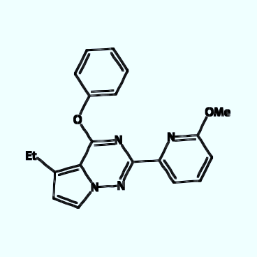 CCc1ccn2nc(-c3cccc(OC)n3)nc(Oc3ccccc3)c12